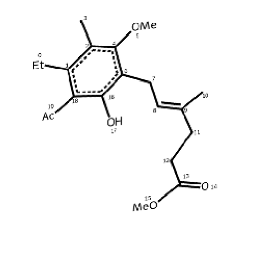 CCc1c(C)c(OC)c(C/C=C(\C)CCC(=O)OC)c(O)c1C(C)=O